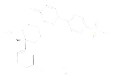 Cl.Cl.NC[C@]1(c2cccc(Cl)c2)CC[C@@H](n2nc(-c3ccc(S(N)(=O)=O)cc3)ccc2=O)CC1